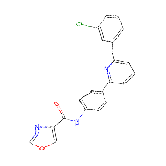 O=C(Nc1ccc(-c2cccc(-c3cccc(Cl)c3)n2)cc1)c1cocn1